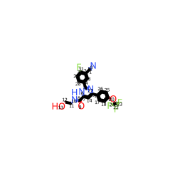 N#Cc1cc(-c2nc(C(=O)NCCO)cc(-c3ccc(OC(F)(F)F)cc3)n2)ccc1F